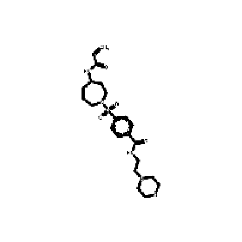 C=CC(=O)NC1CCCN(S(=O)(=O)c2ccc(C(=O)NCCN3CCOCC3)cc2)CC1